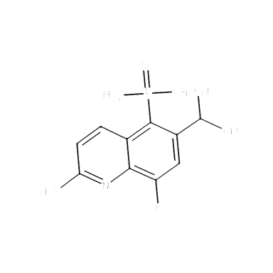 Cc1ccc2c(P(C)(C)=O)c(C(C)C)cc(F)c2n1